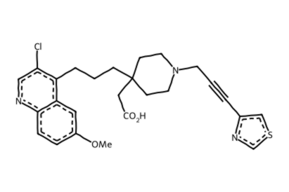 COc1ccc2ncc(Cl)c(CCCC3(CC(=O)O)CCN(CC#Cc4cscn4)CC3)c2c1